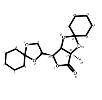 O=C1O[C@@H](C2COC3(CCCCC3)O2)C2OC3(CCCCC3)O[C@@H]12